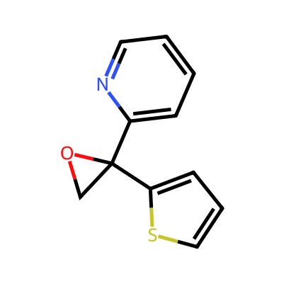 c1ccc(C2(c3cccs3)CO2)nc1